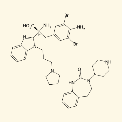 Nc1c(Br)cc(C[C@](N)(C(=O)O)c2nc3ccccc3n2CCCN2CCCC2)cc1Br.O=C1Nc2ccccc2CCN1C1CCNCC1